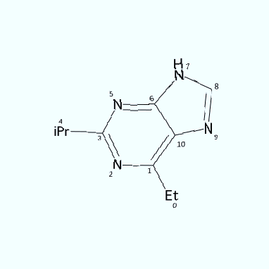 CCc1nc(C(C)C)nc2[nH]cnc12